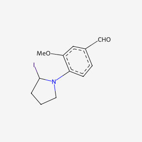 COc1cc(C=O)ccc1N1CCCC1I